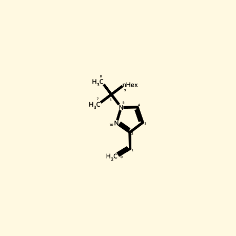 C=Cc1ccn(C(C)(C)CCCCCC)n1